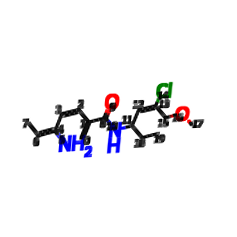 C=C(/C=C\C(N)=C/C)C(=O)NC(/C=C(/Cl)COC)CC